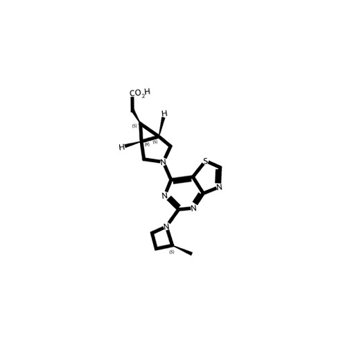 C[C@H]1CCN1c1nc(N2C[C@@H]3[C@@H](CC(=O)O)[C@@H]3C2)c2scnc2n1